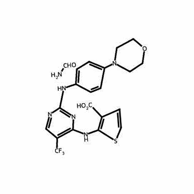 NC=O.O=C(O)c1ccsc1Nc1nc(Nc2ccc(N3CCOCC3)cc2)ncc1C(F)(F)F